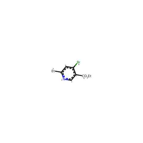 CCOC(=O)c1cnc(CC)cc1Br